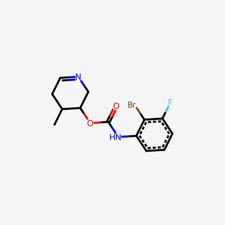 CC1CC=NCC1OC(=O)Nc1cccc(F)c1Br